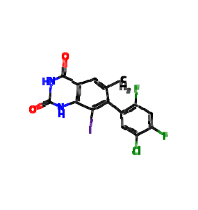 Cc1cc2c(=O)[nH]c(=O)[nH]c2c(I)c1-c1cc(Cl)c(F)cc1F